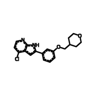 Clc1ccnc2[nH]c(-c3cccc(OCC4CCOCC4)c3)cc12